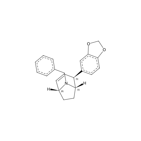 C1=C[C@H]2CC[C@@H]([C@@H]1c1ccc3c(c1)OCO3)N2Cc1ccccc1